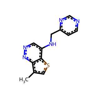 Cc1csc2c(NCc3ccncn3)cnnc12